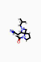 CC(=O)N1CCCC12CN(CC(C)C)C2CC#N